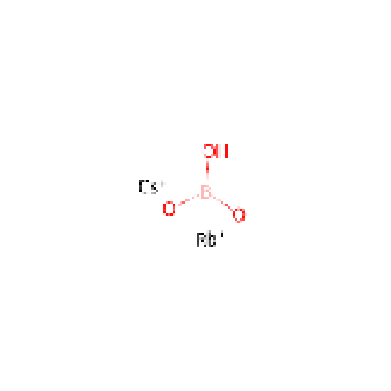 [Cs+].[O-]B([O-])O.[Rb+]